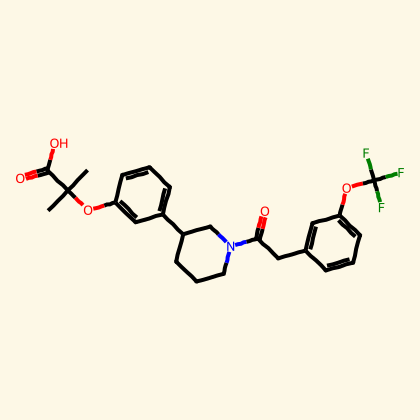 CC(C)(Oc1cccc(C2CCCN(C(=O)Cc3cccc(OC(F)(F)F)c3)C2)c1)C(=O)O